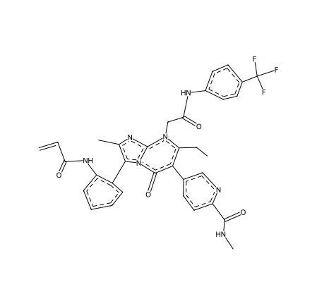 C=CC(=O)Nc1ccccc1-c1c(C)nc2n(CC(=O)Nc3ccc(C(F)(F)F)cc3)c(CC)c(-c3ccc(C(=O)NC)nc3)c(=O)n12